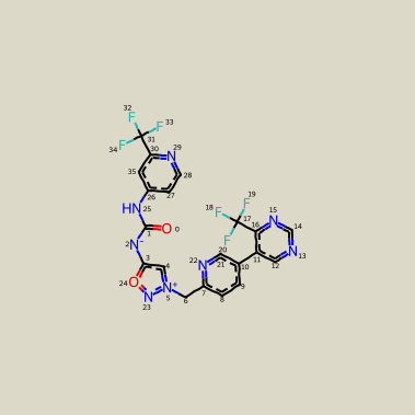 O=C([N-]c1c[n+](Cc2ccc(-c3cncnc3C(F)(F)F)cn2)no1)Nc1ccnc(C(F)(F)F)c1